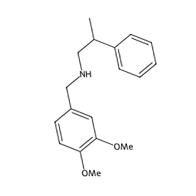 COc1ccc(CNCC(C)c2ccccc2)cc1OC